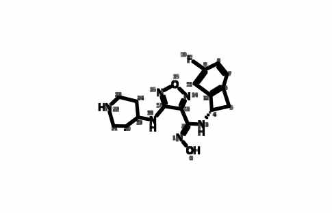 O/N=C(\N[C@H]1Cc2ccc(F)cc21)c1nonc1NC1CCNCC1